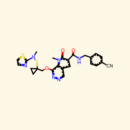 CN(SC1(COc2nncc3cc(C(=O)NCc4ccc(C#N)cc4)c(=O)n(C)c23)CC1)c1nccs1